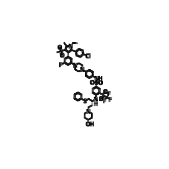 CCn1c(C)c(S(C)(=O)=O)c(-c2cc(F)cc(N3CCN(c4ccc(NS(=O)(=O)c5ccc(N[C@H](CCN6CCC(O)CC6)CSc6ccccc6)c(S(=O)(=O)C(F)(F)F)c5)cc4)CC3)c2)c1-c1ccc(Cl)cc1